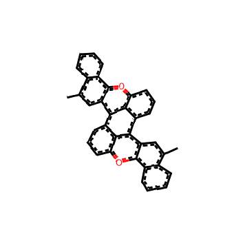 Cc1cc2c(oc3cccc4c3c2c2cccc3oc5c6ccccc6c(C)cc5c4c32)c2ccccc12